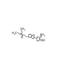 CCCN(CCC)C(=O)CCc1ccc2oc(-c3ccc(O)c(OC)c3)cc2c1